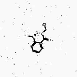 O=C(OCCl)c1ccccc1[N+](=O)[O-]